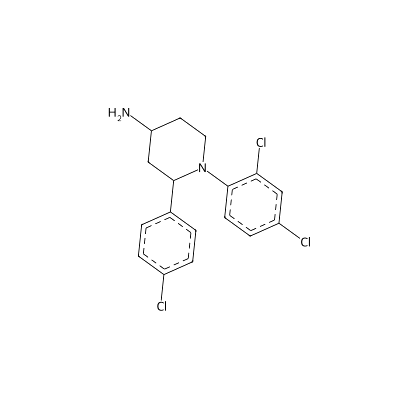 NC1CCN(c2ccc(Cl)cc2Cl)C(c2ccc(Cl)cc2)C1